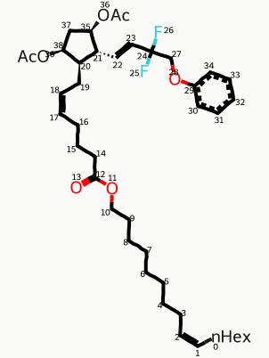 CCCCCC/C=C\CCCCCCCCOC(=O)CCC/C=C\C[C@@H]1[C@@H](/C=C/C(F)(F)COc2ccccc2)[C@H](OC(C)=O)C[C@@H]1OC(C)=O